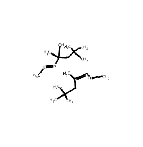 CN=NC(C)(O)CC(C)(C)C.CNN=C(C)CC(C)(C)C